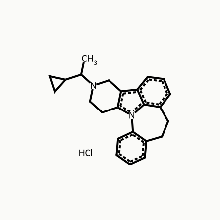 CC(C1CC1)N1CCc2c(c3cccc4c3n2-c2ccccc2CC4)C1.Cl